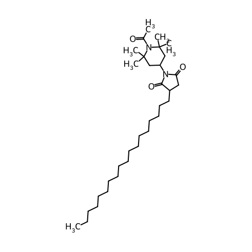 CCCCCCCCCCCCCCCCCCC1CC(=O)N(C2CC(C)(C)N(C(C)=O)C(C)(C)C2)C1=O